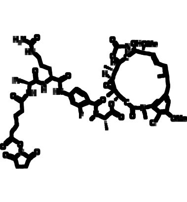 COc1cc2cc(c1Cl)N(C)C(=O)C[C@H](OC(=O)[C@H](C)N(C)C(=O)c1ccc(NC(=O)[C@H](CCCNC(N)=O)NC(=O)[C@@H](NC(=O)CCCCC(=O)ON3C(=O)CCC3=O)C(C)C)cc1F)[C@]1(C)O[C@H]1[C@H](C)[C@@H]1C[C@@](O)(NC(=O)O1)[C@H](OC)/C=C/C=C(\C)C2